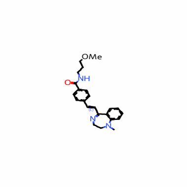 COCCCNC(=O)c1ccc(/C=C/C2=NCCN(C)c3ccccc32)cc1